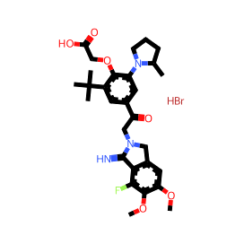 Br.COc1cc2c(c(F)c1OC)C(=N)N(CC(=O)c1cc(N3CCCC3C)c(OCC(=O)O)c(C(C)(C)C)c1)C2